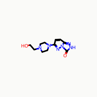 O=c1[nH]nc2ccc(N3CCN(CCO)CC3)nn12